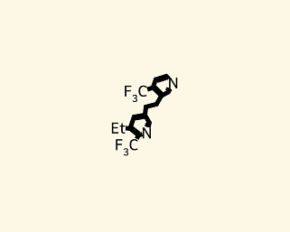 CCc1cc(CCc2cnccc2C(F)(F)F)cnc1C(F)(F)F